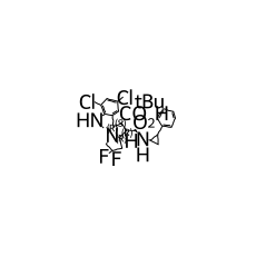 CC(C)(C)c1cccc(C2CC2NC(=O)[C@H]2[C@H]3CC(F)(F)CN3[C@]3(CNc4c(Cl)cc(Cl)cc43)[C@H]2C(=O)O)c1